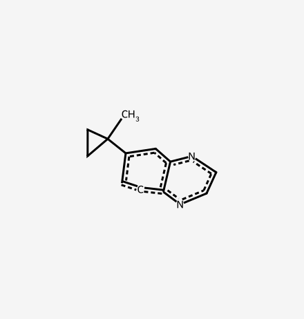 CC1(c2ccc3nccnc3c2)CC1